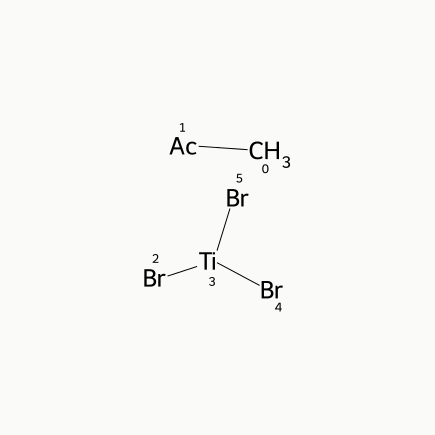 CC(C)=O.[Br][Ti]([Br])[Br]